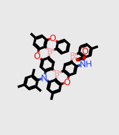 Cc1cc(C)c(N2c3cc4c(cc3B3c5cc6c(cc5Oc5cc(C)cc2c53)Nc2cc(C)cc3c2B6c2ccccc2O3)B2c3ccccc3Oc3cc(C)cc(c32)O4)c(C)c1